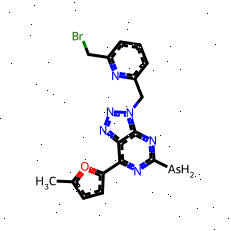 Cc1ccc(-c2nc([AsH2])nc3c2nnn3Cc2cccc(CBr)n2)o1